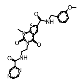 COc1cccc(CNC(=O)c2cc3c(=O)n(CCNC(=O)c4cnccn4)c(=O)n(C)c3s2)c1